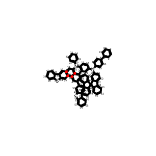 c1ccc(-c2ccc(N(c3ccc(N(c4ccccc4)c4ccccc4)c(-c4cc(-c5ccc6c(c5)sc5ccccc56)cc(-c5ccc6c(c5)sc5ccccc56)c4)c3)c3ccc4c(c3)C3(c5ccccc5-c5ccccc53)c3ccccc3-4)cc2)cc1